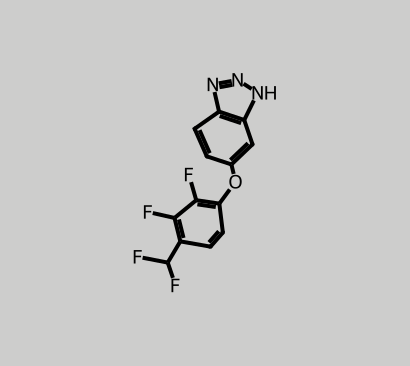 Fc1c(Oc2ccc3nn[nH]c3c2)ccc(C(F)F)c1F